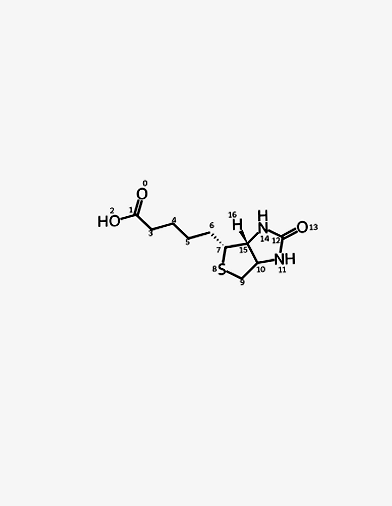 O=C(O)CCCC[C@H]1SCC2NC(=O)N[C@H]21